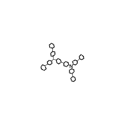 c1ccc(-c2ccc(C(c3ccc(-c4ccccc4)cc3)c3ccc(-c4ccc(N(c5ccc(-c6ccccc6)cc5)c5ccc(-c6ccccc6)cc5)cc4)cc3)cc2)cc1